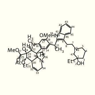 CCC1(O)CCCN(CCc2c([C@@H](C)c3cc4c(cc3OC)N(C)[C@H]3[C@@](O)(C(=O)OC)[C@H](OC(C)=O)[C@]5(CC)C=CCN6CC[C@]43[C@@H]65)[nH]c3ccccc23)C1